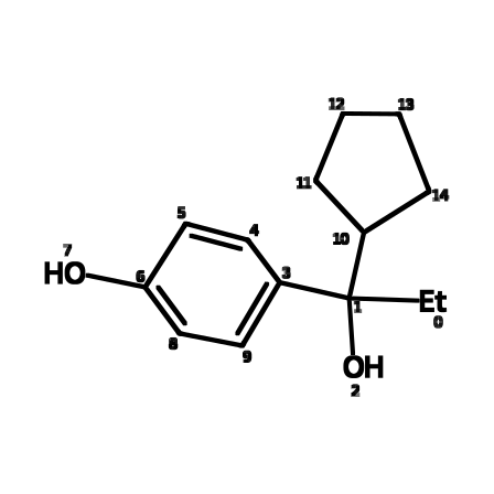 CCC(O)(c1ccc(O)cc1)C1CCCC1